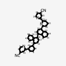 N#Cc1ccnc(-c2cccc(-c3ccc(-c4ccc(-c5cccc(-c6cc(C#N)ccn6)n5)c5ccccc45)c4ccccc34)c2)c1